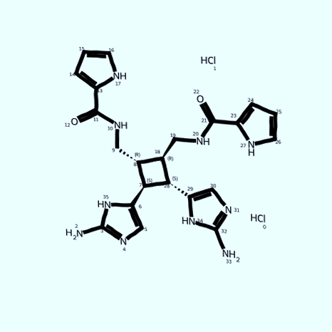 Cl.Cl.Nc1ncc([C@H]2[C@H](CNC(=O)c3ccc[nH]3)[C@@H](CNC(=O)c3ccc[nH]3)[C@@H]2c2cnc(N)[nH]2)[nH]1